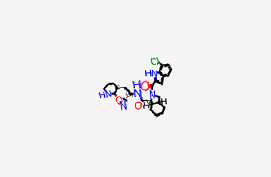 N#C[C@H](C[C@@H]1CCCNC1=O)NC(=O)[C@@H]1[C@H]2CCCC[C@H]2CN1C(=O)c1cc2cccc(Cl)c2[nH]1